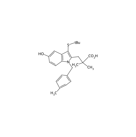 Cc1ccc(Cn2c(CC(C)(C)C(=O)O)c(SC(C)(C)C)c3cc(O)ccc32)cc1